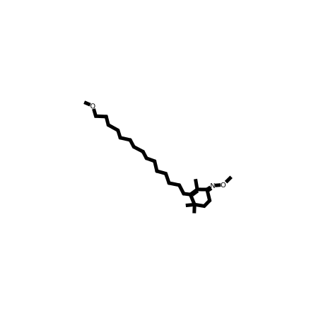 COCCCCCCCCCCCCCCCC1=C(C)/C(=N/OC)CCC1(C)C